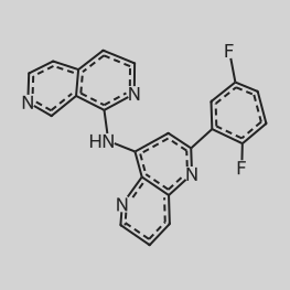 Fc1ccc(F)c(-c2cc(Nc3nccc4ccncc34)c3ncccc3n2)c1